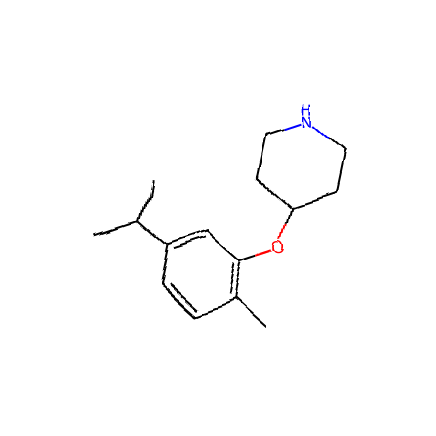 Cc1ccc(C(C)C)cc1OC1CCNCC1